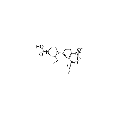 CCOC(=O)c1cc(N2CCN(C(=O)O)CC2CC)ccc1[N+](=O)[O-]